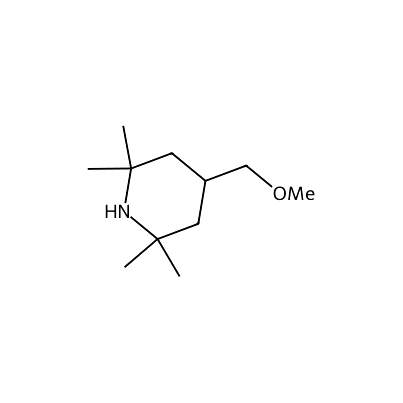 COCC1CC(C)(C)NC(C)(C)C1